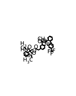 CCNC(=O)C(COC(=O)Cc1ccc(NC(=O)c2ccccc2-c2ccc(C(F)(F)F)cc2)c(C(=O)OC)c1)(C(=O)NCC)c1ccccc1